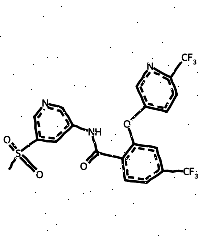 CS(=O)(=O)c1cncc(NC(=O)c2ccc(C(F)(F)F)cc2Oc2ccc(C(F)(F)F)nc2)c1